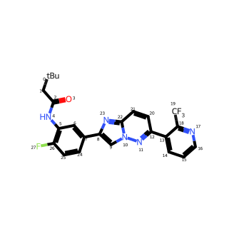 CC(C)(C)CC(=O)Nc1cc(-c2cn3nc(-c4cccnc4C(F)(F)F)ccc3n2)ccc1F